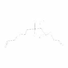 C=CCOCCC(CCOCC=C)(C(=O)OCC)C(=O)OCC